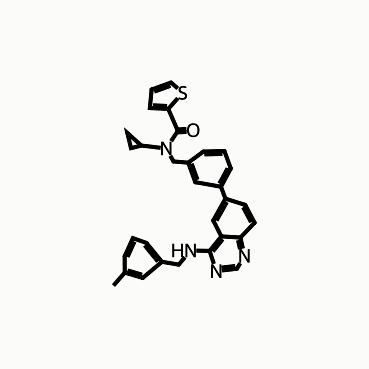 Cc1cccc(CNc2ncnc3ccc(-c4cccc(CN(C(=O)c5cccs5)C5CC5)c4)cc23)c1